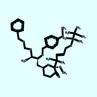 COc1ccc(CO[C@H](C[C@@H]2CCC(=O)[C@](OC)(C(C)(C)/C=C/CO[Si](C)(C)C(C)(C)C)O2)[C@@H](C)OCOCc2ccccc2)cc1